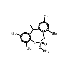 BOP1(=O)Oc2c(cc(C(C)(C)C)cc2C(C)(C)C)C(C)c2cc(C(C)(C)C)cc(C(C)(C)C)c2O1